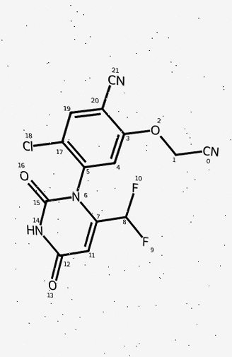 N#CCOc1cc(-n2c(C(F)F)cc(=O)[nH]c2=O)c(Cl)cc1C#N